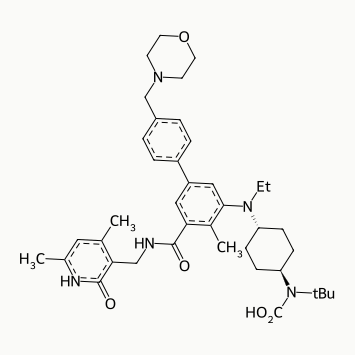 CCN(c1cc(-c2ccc(CN3CCOCC3)cc2)cc(C(=O)NCc2c(C)cc(C)[nH]c2=O)c1C)[C@H]1CC[C@H](N(C(=O)O)C(C)(C)C)CC1